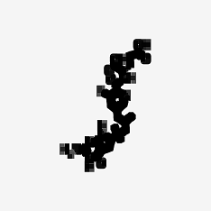 CC(Cc1cnc(C(=O)N[C@@H](CCC(=O)O)C(=O)O)c(F)c1)CC(C)(C)c1cc2c(=O)[nH]c(N)nc2[nH]1